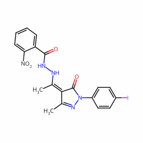 CC1=NN(c2ccc(I)cc2)C(=O)/C1=C(/C)NNC(=O)c1ccccc1[N+](=O)[O-]